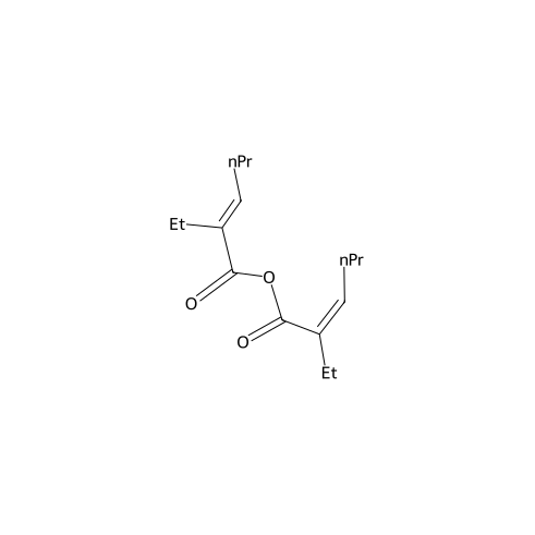 CCCC=C(CC)C(=O)OC(=O)C(=CCCC)CC